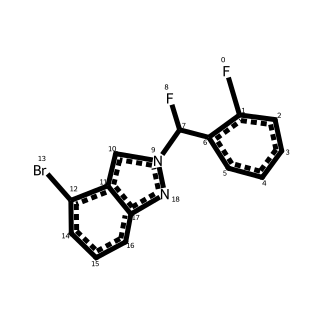 Fc1ccccc1C(F)n1cc2c(Br)cccc2n1